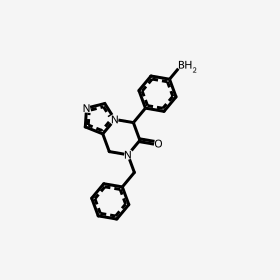 Bc1ccc(C2C(=O)N(Cc3ccccc3)Cc3cncn32)cc1